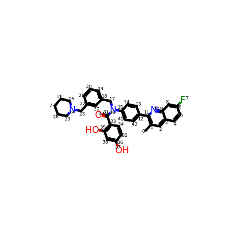 Cc1cc2ccc(F)cc2nc1-c1ccc(N(Cc2cccc(CN3CCCCC3)c2)C(=O)c2ccc(O)cc2O)cc1